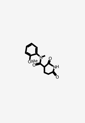 COc1ccccc1N(C)C(=O)C1CCC(=O)NC1=O